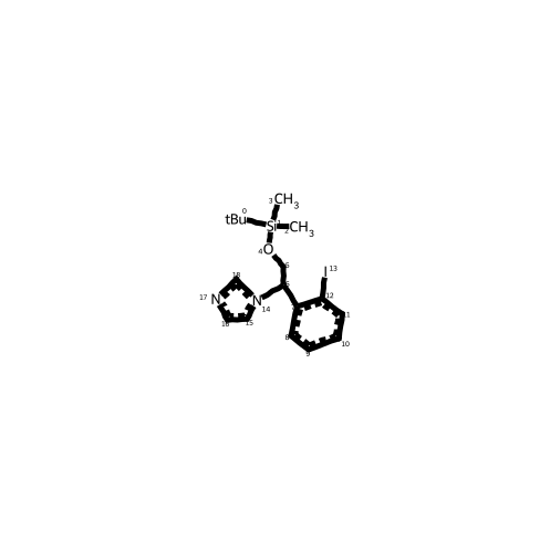 CC(C)(C)[Si](C)(C)OCC(c1ccccc1I)n1ccnc1